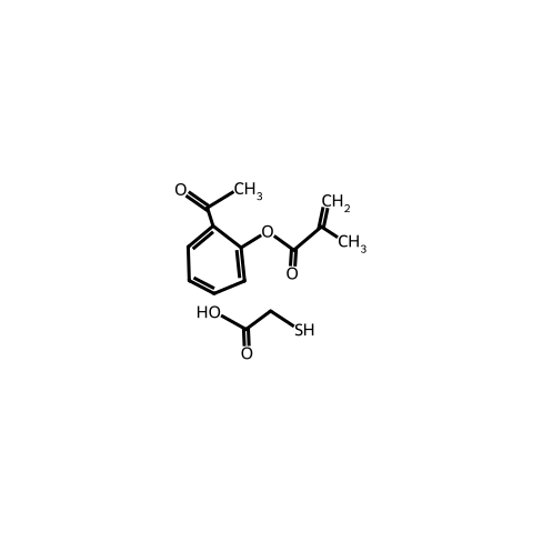 C=C(C)C(=O)Oc1ccccc1C(C)=O.O=C(O)CS